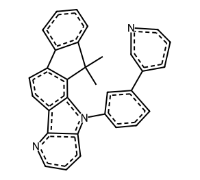 CC1(C)c2ccccc2-c2ccc3c4ncccc4n(-c4cccc(-c5cccnc5)c4)c3c21